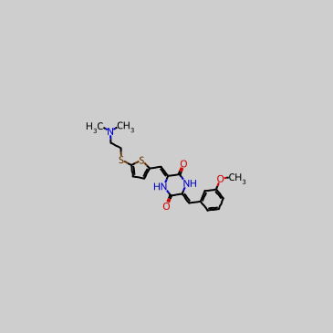 COc1cccc(C=c2[nH]c(=O)c(=Cc3ccc(SCCN(C)C)s3)[nH]c2=O)c1